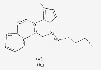 CCCC[NH][Ti][CH2]c1c(C2=C(C)C=CC2)ccc2ccccc12.Cl.Cl